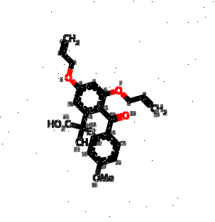 C=CCOc1cc(OCC=C)c(C(=O)c2ccc(OC)cc2)c(C(C)(CC)C(=O)O)c1